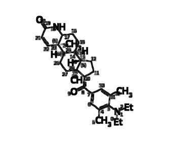 CCN(CC)c1c(C)cc(C(=O)C2CC[C@H]3[C@@H]4CCC5NC(=O)C=C[C@]5(C)[C@@H]4CC[C@]23C)cc1C